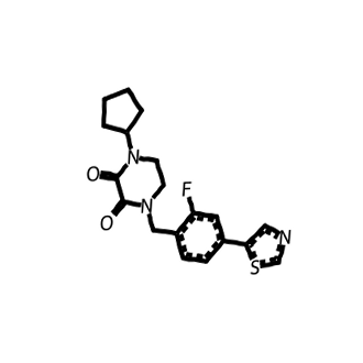 O=C1C(=O)N(C2CCCC2)CCN1Cc1ccc(-c2cncs2)cc1F